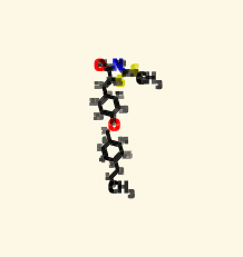 CCCc1ccc(COc2ccc(/C=C3\SC(SC)=NC3=O)cc2)cc1